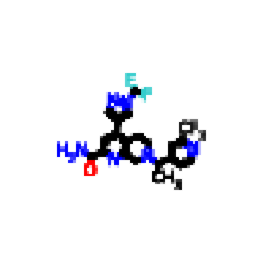 CC(c1ccnc(C(F)(F)F)c1)N1CCc2c(-c3cnn(C(F)F)c3)cc(C(N)=O)nc2C1